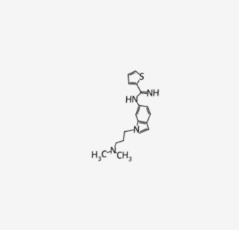 CN(C)CCCn1ccc2ccc(NC(=N)c3cccs3)cc21